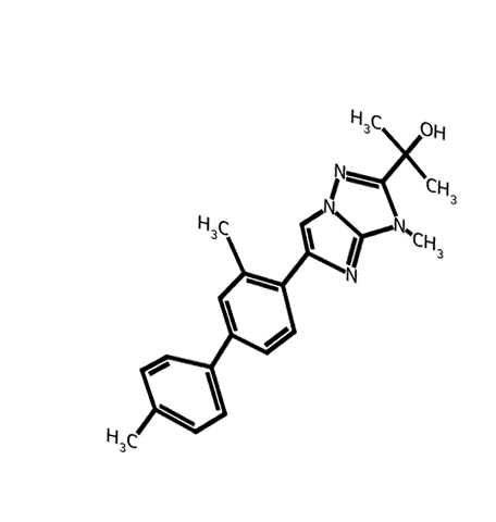 Cc1ccc(-c2ccc(-c3cn4nc(C(C)(C)O)n(C)c4n3)c(C)c2)cc1